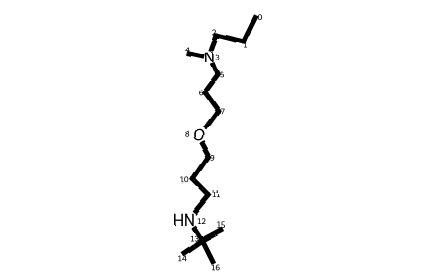 CCCN(C)CCCOCCCNC(C)(C)C